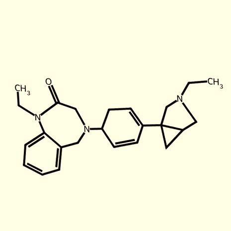 CCN1CC2CC2(C2=CCC(N3CC(=O)N(CC)c4ccccc4C3)C=C2)C1